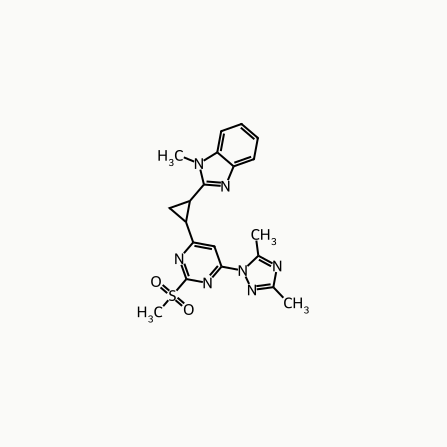 Cc1nc(C)n(-c2cc(C3CC3c3nc4ccccc4n3C)nc(S(C)(=O)=O)n2)n1